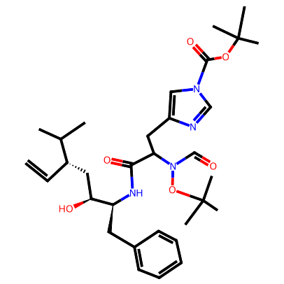 C=C[C@@H](C[C@H](O)[C@H](Cc1ccccc1)NC(=O)C(Cc1cn(C(=O)OC(C)(C)C)cn1)N(C=O)OC(C)(C)C)C(C)C